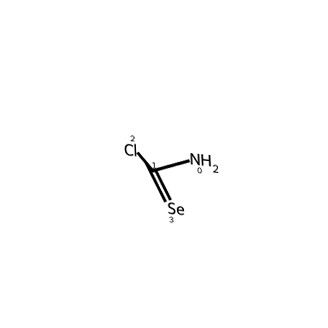 NC(Cl)=[Se]